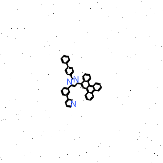 c1ccc(-c2ccc(-c3nc(-c4cccc(-c5cccnc5)c4)cc(-c4cc5c6ccccc6c6ccccc6c5c5ccccc45)n3)cc2)cc1